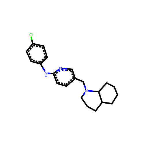 Clc1ccc(Nc2ccc(CN3CCCC4CCCCC43)cn2)cc1